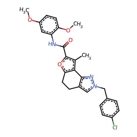 COc1ccc(OC)c(NC(=O)c2oc3c(c2C)-c2nn(Cc4ccc(Cl)cc4)cc2CC3)c1